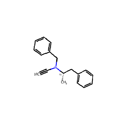 C#CN(Cc1ccccc1)[C@@H](C)Cc1ccccc1